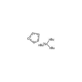 CCC[CH2][2Sn]([CH2]CCC)[CH2]CCC.c1ccoc1